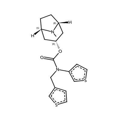 CN1[C@@H]2CC[C@H]1C[C@@H](OC(=O)N(Cc1ccsc1)c1ccsc1)C2